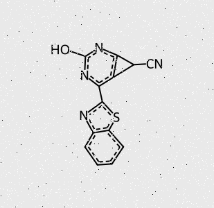 N#CC1c2nc(O)nc(-c3nc4ccccc4s3)c21